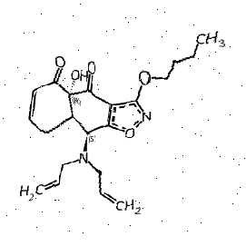 C=CCN(CC=C)[C@@H]1c2onc(OCCCC)c2C(=O)[C@]2(O)C(=O)C=CCC12